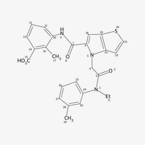 CCN(C(=O)Cn1c(C(=O)Nc2cccc(C(=O)O)c2C)cc2sccc21)c1cccc(C)c1